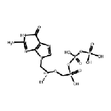 CC[C@H](Cn1cnc2c(=O)[nH]c(N)nc21)OCP(=O)(O)OP(=O)(O)OP(=O)(O)O